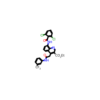 CCOC(=O)c1cnc2c(NC(=O)c3c(Cl)cccc3Cl)cccc2c1CC(=O)Nc1cccc(C(F)(F)F)c1